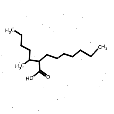 CCCCCCCC(C(=O)O)C(C)CCCC